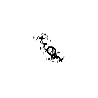 C#C[C@H]1CC2C[C@@H](NC(=O)OC(C)(C)C)C([C@H]1O)N(C(=O)CC(F)(F)F)C2